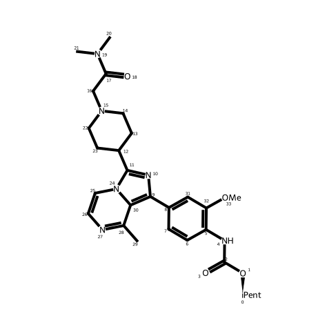 CCC[C@H](C)OC(=O)Nc1ccc(-c2nc(C3CCN(CC(=O)N(C)C)CC3)n3ccnc(C)c23)cc1OC